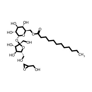 CCCCCCCCCCCC(=O)OC[C@H]1O[C@H](O[C@]2(CO)O[C@H](CO)[C@@H](O)[C@@H]2O)[C@H](O)[C@@H](O)[C@@H]1O.OCC1CO1